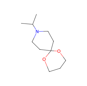 CC(C)N1CCC2(CC1)OCCCO2